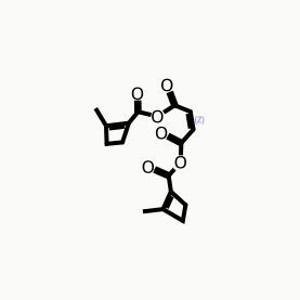 CC1=C(C(=O)OC(=O)/C=C\C(=O)OC(=O)C2=C(C)CC2)CC1